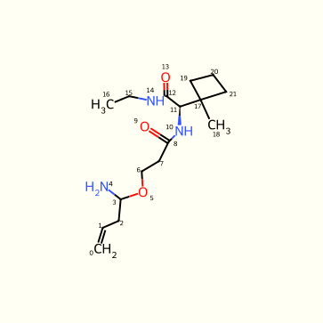 C=CCC(N)OCCC(=O)N[C@@H](C(=O)NCC)C1(C)CCC1